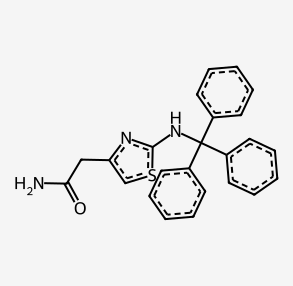 NC(=O)Cc1csc(NC(c2ccccc2)(c2ccccc2)c2ccccc2)n1